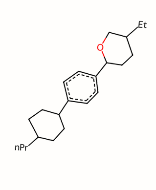 CCCC1CCC(c2ccc(C3CCC(CC)CO3)cc2)CC1